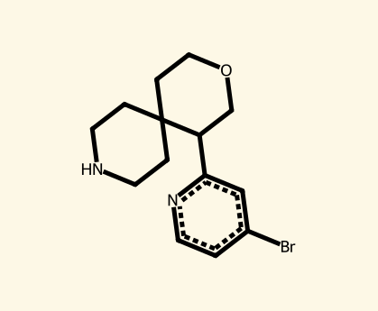 Brc1ccnc(C2COCCC23CCNCC3)c1